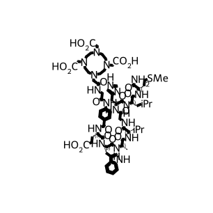 CSCC[C@H](NC(=O)[C@H](CC(C)C)NC(=O)[C@H](Cc1c[nH]cn1)NC(=O)CNC(=O)[C@@H](NC(=O)[C@H](C)NC(=O)[C@H](Cc1c[nH]c2ccccc12)NC(=O)[C@H](CCC(=O)O)NC(=O)c1ccc(NC(=O)CNC(=O)CN2CCN(CC(=O)O)CCN(CC(=O)O)CCN(CC(=O)O)CC2)cc1)C(C)C)C(N)=O